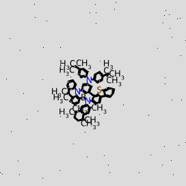 Cc1cc2c(cc1N1B3c4cccc5c4N(c4ccccc4C5(C)C)c4cc(N(c5ccc(C(C)(C)C)cc5)c5ccc(C(C)(C)C)cc5)cc(c43)-c3c1ccc1c3sc3ccccc31)C(C)(C)CCC2(C)C